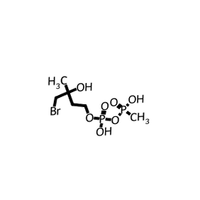 CC(O)(CBr)CCOP(=O)(O)OP(C)(=O)O